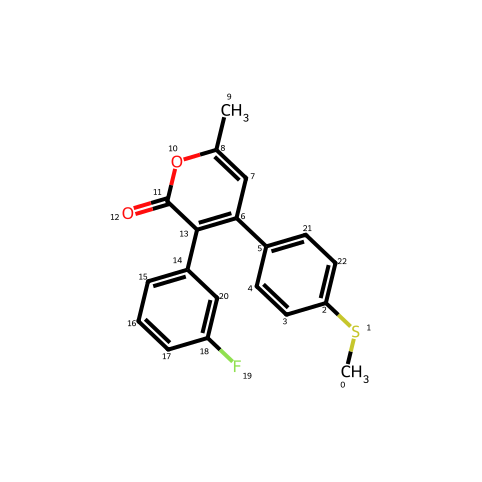 CSc1ccc(-c2cc(C)oc(=O)c2-c2cccc(F)c2)cc1